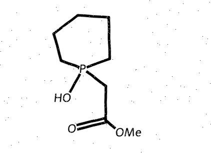 COC(=O)C[P]1(O)CCCCC1